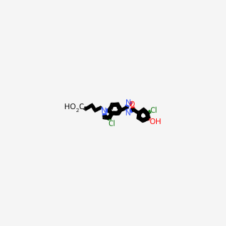 O=C(O)CCCCn1cc(Cl)c2cc(-c3noc(-c4ccc(O)c(Cl)c4)n3)ccc21